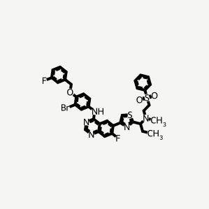 CCC(c1nc(-c2cc3c(Nc4ccc(OCc5cccc(F)c5)c(Br)c4)ncnc3cc2F)cs1)N(C)CCS(=O)(=O)c1ccccc1